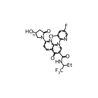 CCC(NC(=O)c1cn(-c2ncc(F)cc2Cl)c2nc(N3C[C@@H](O)CC3=O)ccc2c1=O)C(F)(F)F